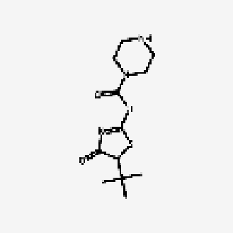 CC(C)(C)C1SC(OC(=O)N2CCNCC2)=NC1=O